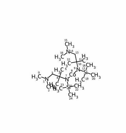 CN(C)CC(C)(C)[N]([Co][N](C(C)(C)CN(C)C)[Si](C)(C)C)[Si](C)(C)C